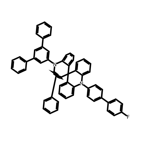 Fc1ccc(-c2ccc(N3c4ccccc4C4(c5ccccc53)c3ccccc3N(c3cc(-c5ccccc5)cc(-c5ccccc5)c3)c3ccc(-c5ccccc5)cc34)cc2)cc1